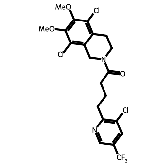 COc1c(Cl)c2c(c(Cl)c1OC)CN(C(=O)CCCc1ncc(C(F)(F)F)cc1Cl)CC2